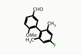 COc1ccc(C=O)cc1-c1c(C)cc(F)cc1C